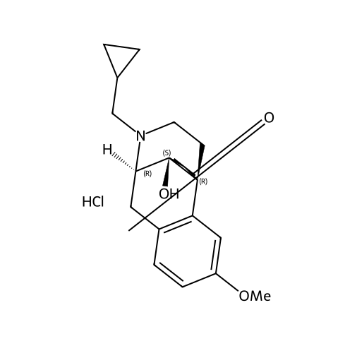 COc1ccc2c(c1)[C@]13CCN(CC4CC4)[C@H](C2)[C@]1(O)CCC(=O)C3.Cl